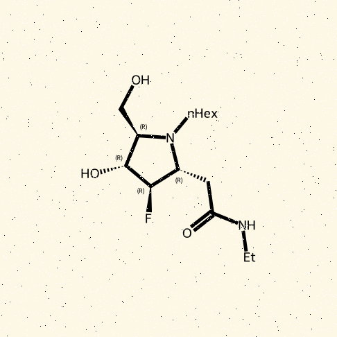 CCCCCCN1[C@H](CO)[C@@H](O)[C@H](F)[C@H]1CC(=O)NCC